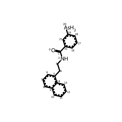 O=C(NCCc1cccc2ccccc12)c1cccc([AsH2])c1